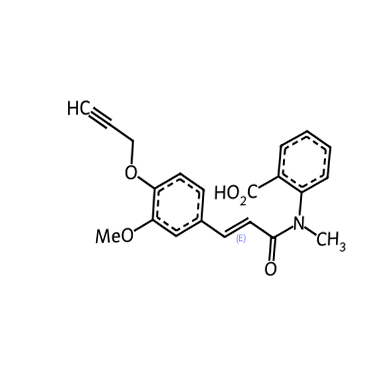 C#CCOc1ccc(/C=C/C(=O)N(C)c2ccccc2C(=O)O)cc1OC